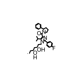 [CH2]CC(O)CC(O)CCn1c(-c2ccc(F)cc2)nc(C(=O)N2CCCC2c2ccccc2)c1C(C)C